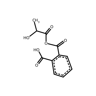 CC(O)C(=O)OC(=O)c1ccccc1C(=O)O